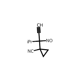 C#CC(N=O)(C(C)C)C1(C#N)CC1